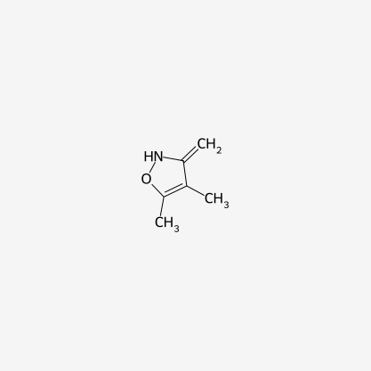 C=C1NOC(C)=C1C